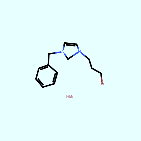 Br.BrCCCN1C=CN(Cc2ccccc2)C1